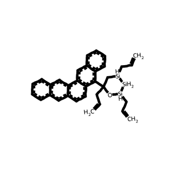 C=CC[SiH]1CC(CC=C)(c2c3ccccc3cc3c2ccc2cc4ccccc4cc23)O[SiH](CC=C)[SiH2]1